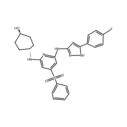 O=S(=O)(c1ccccc1)c1cc(Nc2cc(-c3ccc(F)cc3)[nH]n2)nc(N[C@H]2CC[C@H](O)CC2)c1